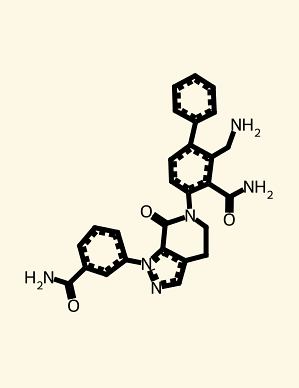 NCc1c(-c2ccccc2)ccc(N2CCc3cnn(-c4cccc(C(N)=O)c4)c3C2=O)c1C(N)=O